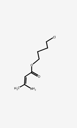 C/C(N)=C/C(=O)OCCCCCl